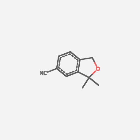 CC1(C)OCc2ccc(C#N)cc21